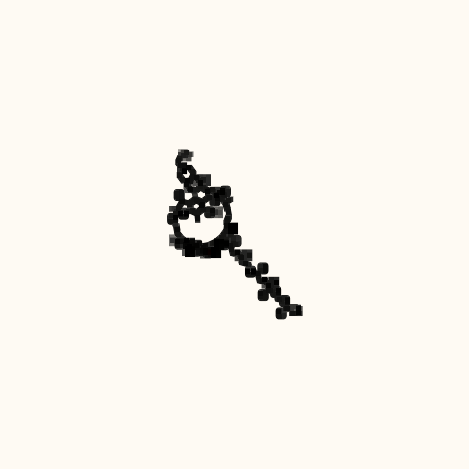 CCC(=O)OCOC(=O)NCC(=O)OCCNCC(=O)O[C@@H]1[C@@H](C)[C@@H](O)[C@@H](C)[C@H](OC(C)=O)[C@H](C)[C@@H](OC)/C=C/O[C@@]2(C)Oc3c(C)c(O)c4c(c3C2=O)C2=NC3(CCN(CC(C)C)CC3)NC2=C(NC(=O)/C(C)=C\C=C\[C@@H]1C)C4=O